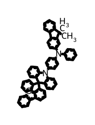 CC1(C)c2ccccc2-c2ccc(N(c3ccccc3)c3ccc(N4c5ccccc5C(c5ccccc5)(c5cccc6c5oc5ccccc56)c5ccccc54)cc3)cc21